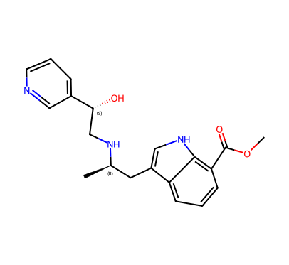 COC(=O)c1cccc2c(C[C@@H](C)NC[C@@H](O)c3cccnc3)c[nH]c12